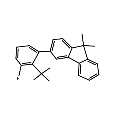 CC(C)(C)c1c(F)cccc1-c1ccc2c(c1)-c1ccccc1C2(C)C